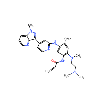 C=CC(=O)Nc1cc(Nc2cc(-c3nn(C)c4cccnc34)ccn2)c(OC)cc1N(C)CCN(C)C